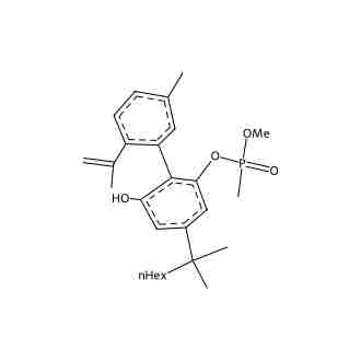 C=C(C)c1ccc(C)cc1-c1c(O)cc(C(C)(C)CCCCCC)cc1OP(C)(=O)OC